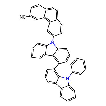 N#Cc1ccc2ccc3ccc(-n4c5ccccc5c5c(-c6cccc7c8ccccc8n(-c8ccccc8)c67)cccc54)cc3c2c1